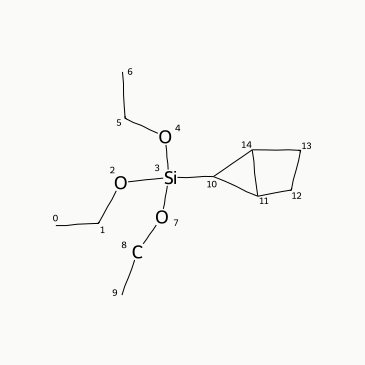 CCO[Si](OCC)(OCC)C1C2CCC21